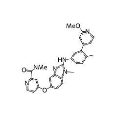 CNC(=O)c1cc(Oc2ccc3c(c2)nc(Nc2ccc(C)c(-c4ccnc(OC)c4)c2)n3C)ccn1